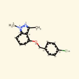 Cc1nn(C)c2cccc(OCc3ccc(Cl)cc3)c12